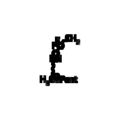 C=CCc1ccc(-c2ccc3nc(/C=C/CCCC(C)OCCCCC)cnc3c2)c(F)c1F